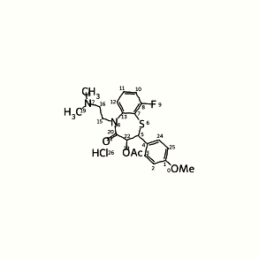 COc1ccc(C2Sc3c(F)cccc3N(CCN(C)C)C(=O)C2OC(C)=O)cc1.Cl